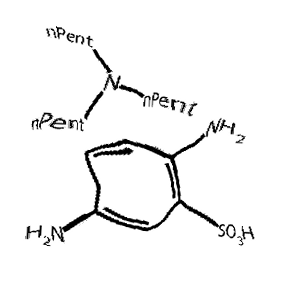 CCCCCN(CCCCC)CCCCC.Nc1ccc(N)c(S(=O)(=O)O)c1